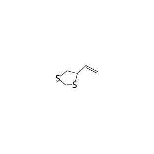 C=CC1CSCS1